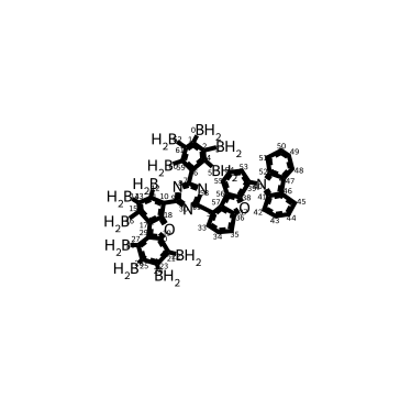 Bc1c(B)c(B)c(-c2nc(-c3c(B)c(B)c(B)c4c3oc3c(B)c(B)c(B)c(B)c34)nc(-c3cccc4oc5c(-n6c7ccccc7c7ccccc76)cccc5c34)n2)c(B)c1B